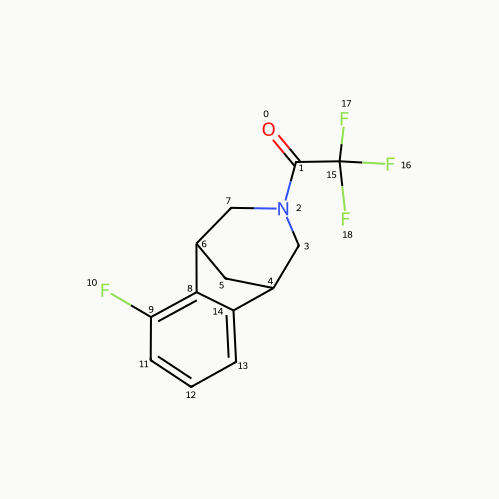 O=C(N1CC2CC(C1)c1c(F)cccc12)C(F)(F)F